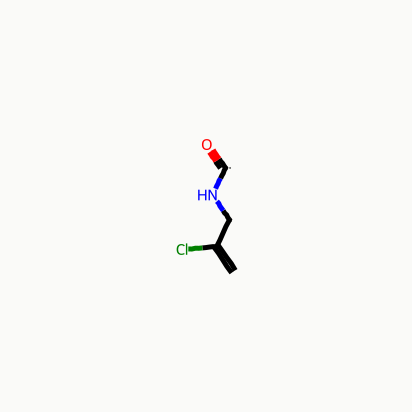 C=C(Cl)CN[C]=O